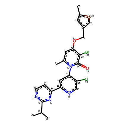 Cc1cc(COc2cc(C)n(-c3cc(-c4ccnc(C(C)C)n4)ncc3Cl)c(=O)c2Br)cs1